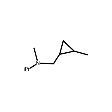 CC1CC1CN(C)C(C)C